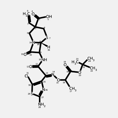 C=CC1(C(=O)O)CS[C@@H]2C(NC(=O)C(=NOC(C)C(=O)OC(C)(C)C)c3nc(N)sc3Cl)C(=O)N2C1